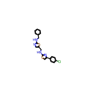 Clc1ccc(-c2csc(NCc3cnc(NCc4ccccc4)s3)n2)cc1